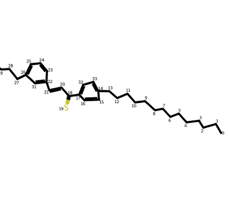 CCCCCCCCCCCCCCc1ccc(C(=S)C=Cc2cccc(CCCC)c2)cc1